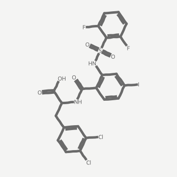 O=C(NC(Cc1ccc(Cl)c(Cl)c1)C(=O)O)c1ccc(I)cc1NS(=O)(=O)c1c(F)cccc1F